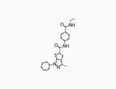 CCNC(=O)c1ccc(NC(=O)c2cc3c(C)nn(-c4ccccc4)c3s2)cc1